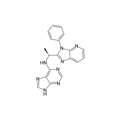 C[C@H](Nc1ncnc2[nH]cnc12)c1nc2cccnc2n1-c1ccccc1